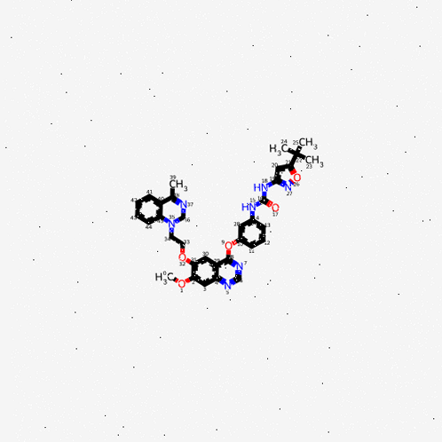 COc1cc2ncnc(Oc3cccc(NC(=O)Nc4cc(C(C)(C)C)on4)c3)c2cc1OCCN1CN=C(C)c2ccccc21